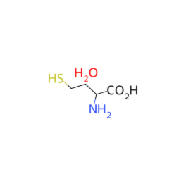 NC(CCS)C(=O)O.O